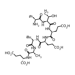 CC[C@H](C)[C@H](NC(=O)[C@H](CCC(=O)O)NC(=O)[C@H](CCC(=O)O)NC(=O)[C@@H](NC(=O)[C@@H](N)C(C)C)[C@@H](C)O)C(=O)N[C@@H](C)C(=O)N[C@@H](CCC(=O)O)C(=O)O